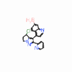 Bc1ccc2c(-c3c(-c4ccccn4)nn4c3C(Cl)CC4)ccnc2c1